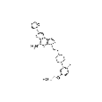 Nc1nc2c(cnn2CCN2CCN(c3cc(OCCO)ccc3F)CC2)c2cc(-c3ccco3)nn12